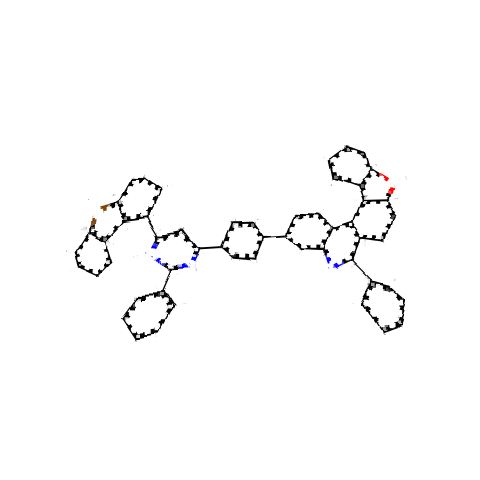 c1ccc(-c2nc(-c3ccc(-c4ccc5c(c4)nc(-c4ccccc4)c4ccc6oc7ccccc7c6c45)cc3)cc(-c3cccc4sc5ccccc5c34)n2)cc1